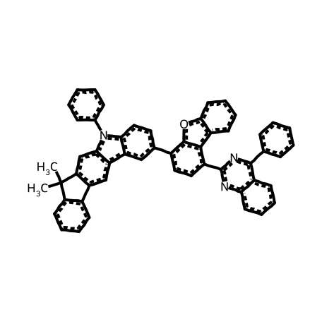 CC1(C)c2ccccc2-c2cc3c4cc(-c5ccc(-c6nc(-c7ccccc7)c7ccccc7n6)c6c5oc5ccccc56)ccc4n(-c4ccccc4)c3cc21